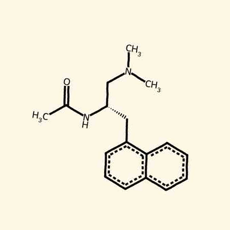 CC(=O)N[C@@H](Cc1cccc2ccccc12)CN(C)C